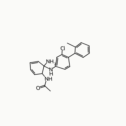 CC(=O)NC1C=CC=CC1(N)Nc1ccc(-c2ccccc2C)c(Cl)c1